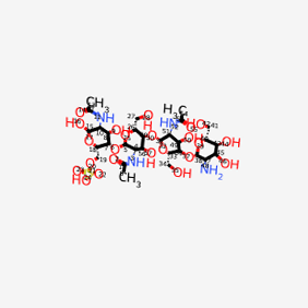 CC(=O)N[C@@H]1C(O[C@H]2C(O)[C@@H](NC(C)=O)C(O)O[C@H]2COS(=O)(=O)O)O[C@H](CO)[C@@H](O[C@@H]2O[C@@H](CO)C(OC3O[C@H](CO)[C@@H](O)C(O)[C@@H]3N)C(O)[C@H]2NC(C)=O)C1O